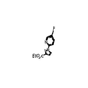 CCOC(=O)c1ccn(-c2ccc(F)cn2)n1